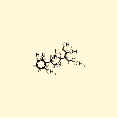 CC/C(O)=C(/COC)C(C)/N=C\C(=N)c1c(C)cccc1C